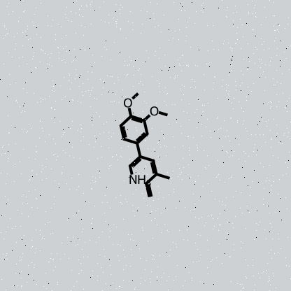 C=C/C(C)=C\C(=C/N)c1ccc(OC)c(OC)c1